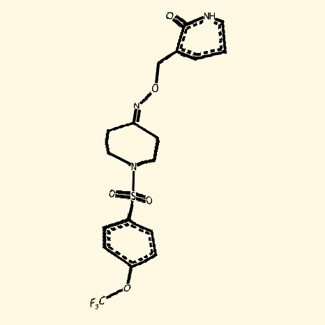 O=c1[nH]cccc1CON=C1CCN(S(=O)(=O)c2ccc(OC(F)(F)F)cc2)CC1